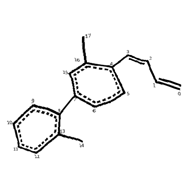 C=C/C=C\c1ccc(-c2ccccc2C)cc1C